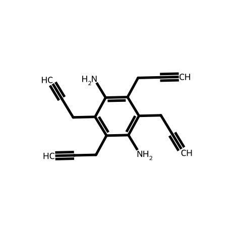 C#CCc1c(N)c(CC#C)c(CC#C)c(N)c1CC#C